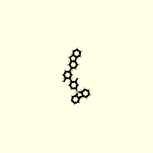 Cc1cc(-n2c3ccccc3c3ccccc32)ccc1-c1cc(-c2ccc3c(c2)Cc2ccccc2-3)ccc1C